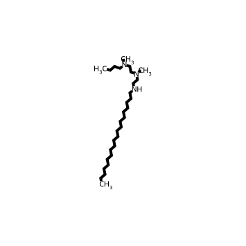 CCCCCCCCCCCCCCCCCCCCNCCN(C)CCN(C)CCCC